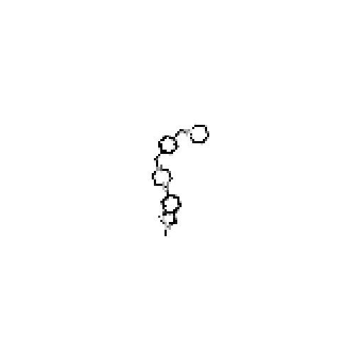 Cn1cc2ccc(N3CCN(Cc4ccc(CN5CCCCC5)cc4)CC3)cc2n1